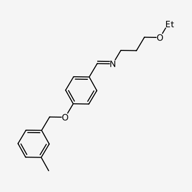 CCOCCC/N=C/c1ccc(OCc2cccc(C)c2)cc1